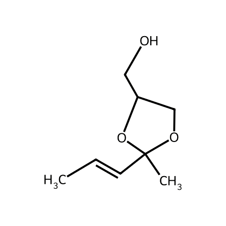 CC=CC1(C)OCC(CO)O1